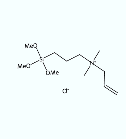 C=CC[N+](C)(C)CCC[Si](OC)(OC)OC.[Cl-]